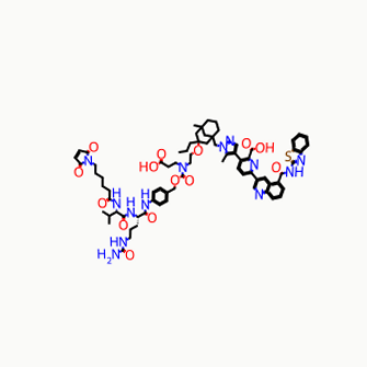 CCCC1(OCCN(CCC(=O)O)C(=O)OCc2ccc(NC(=O)[C@H](CCCNC(N)=O)NC(=O)[C@@H](NC(=O)CCCCCN3C(=O)C=CC3=O)C(C)C)cc2)CC2(C)CCCC(Cn3ncc(-c4ccc(-c5cnc6cccc(C(=O)Nc7nc8ccccc8s7)c6c5)nc4C(=O)O)c3C)(C2)C1